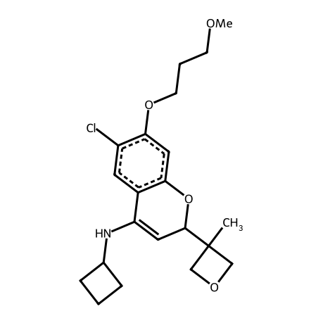 COCCCOc1cc2c(cc1Cl)C(NC1CCC1)=CC(C1(C)COC1)O2